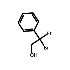 CCC(Br)(CO)c1ccccc1